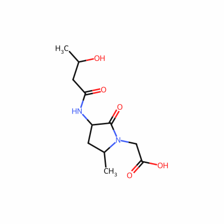 CC(O)CC(=O)NC1CC(C)N(CC(=O)O)C1=O